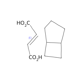 C1CC2CCC2C1.O=C(O)/C=C/C(=O)O